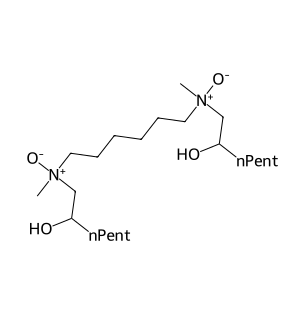 CCCCCC(O)C[N+](C)([O-])CCCCCC[N+](C)([O-])CC(O)CCCCC